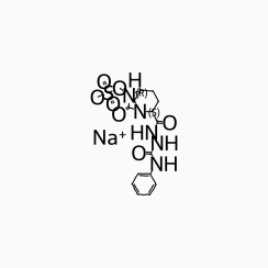 O=C(NNC(=O)[C@@H]1CC[C@@H]2CN1C(=O)N2OS(=O)(=O)[O-])Nc1ccccc1.[Na+]